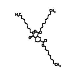 CCCCCCCCCOC(=O)C1CCC(C(=O)OCCCCCCCCC)C(C(=O)OCCCCCCCCC)C1